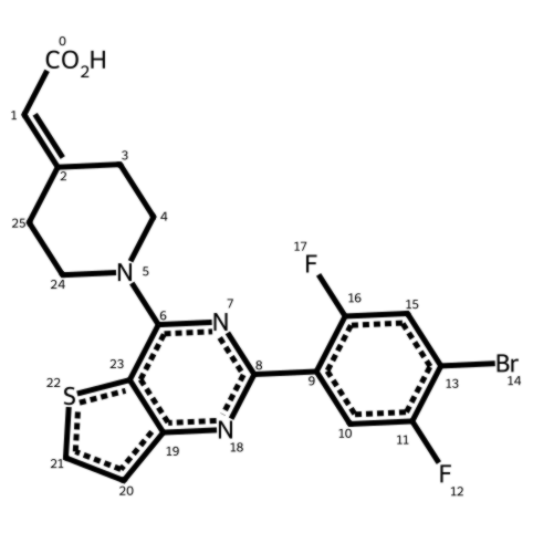 O=C(O)C=C1CCN(c2nc(-c3cc(F)c(Br)cc3F)nc3ccsc23)CC1